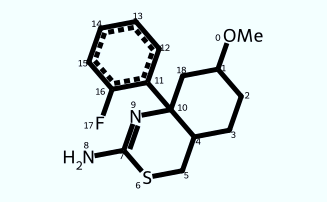 COC1CCC2CSC(N)=NC2(c2ccccc2F)C1